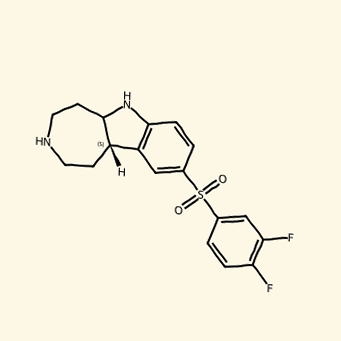 O=S(=O)(c1ccc(F)c(F)c1)c1ccc2c(c1)[C@@H]1CCNCCC1N2